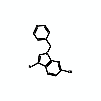 N#Cc1ccc2c(Br)cn(Cc3ccncc3)c2n1